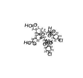 O=C(O)CC1CCC(CCNS(=O)(=O)c2ccc(Cl)cc2)(OC2(CCNS(=O)(=O)c3ccc(Cl)cc3)CCC(CC(=O)O)CC2)CC1